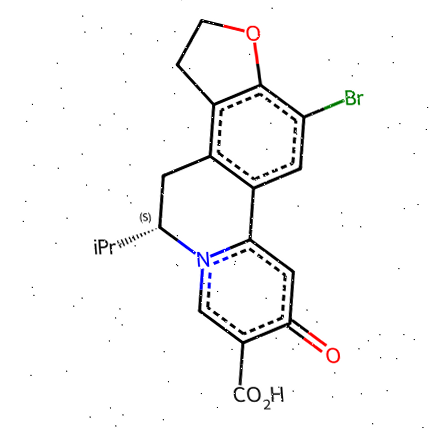 CC(C)[C@@H]1Cc2c(cc(Br)c3c2CCO3)-c2cc(=O)c(C(=O)O)cn21